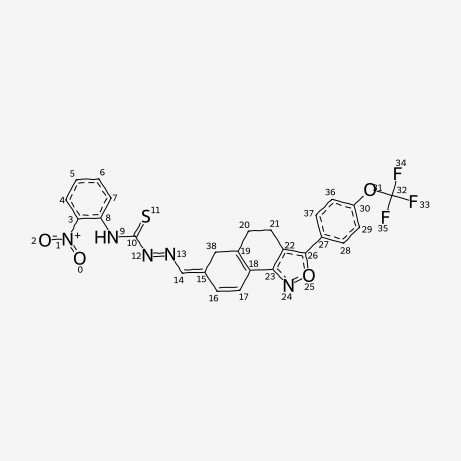 O=[N+]([O-])c1ccccc1NC(=S)N=NC=C1C=CC2=C(CCc3c2noc3-c2ccc(OC(F)(F)F)cc2)C1